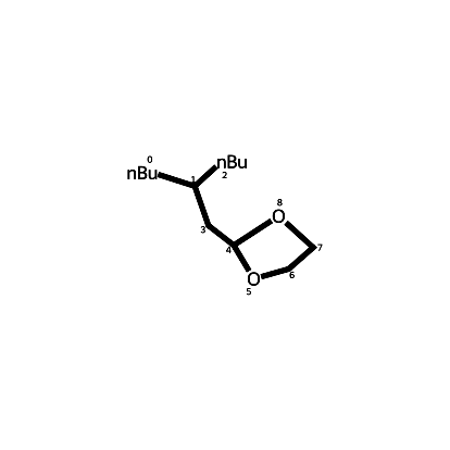 CCCCC(CCCC)CC1OCCO1